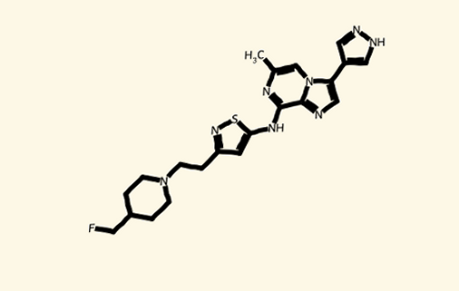 Cc1cn2c(-c3cn[nH]c3)cnc2c(Nc2cc(CCN3CCC(CF)CC3)ns2)n1